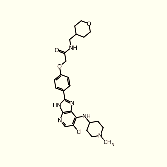 CN1CCC(Nc2c(Cl)cnc3[nH]c(-c4ccc(OCC(=O)NCC5CCOCC5)cc4)nc23)CC1